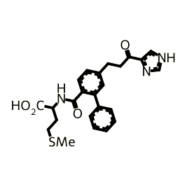 CSCCC(NC(=O)c1ccc(CCC(=O)c2c[nH]cn2)cc1-c1ccccc1)C(=O)O